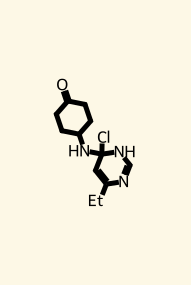 CCC1=CC(Cl)(NC2CCC(=O)CC2)NC=N1